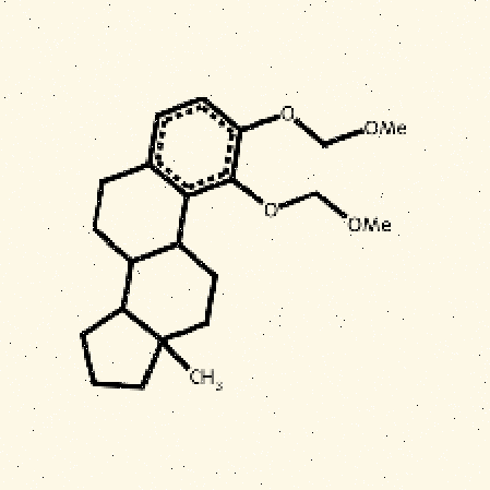 COCOc1ccc2c(c1OCOC)C1CCC3(C)CCCC3C1CC2